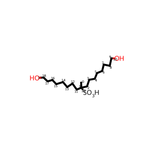 CC(CCCCCCCCO)(CCCCCCCCO)S(=O)(=O)O